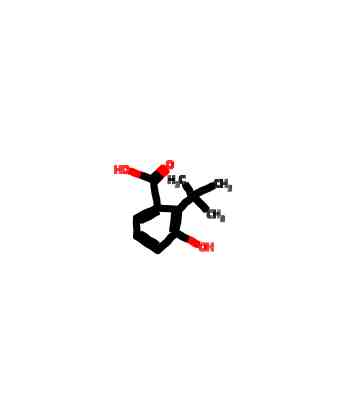 CC(C)(C)c1c(O)cccc1C(=O)O